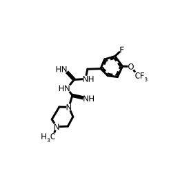 CN1CCN(C(=N)NC(=N)NCc2ccc(OC(F)(F)F)c(F)c2)CC1